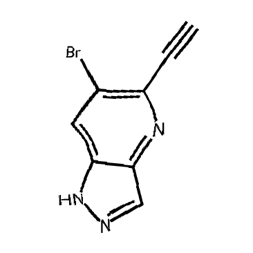 C#Cc1nc2cn[nH]c2cc1Br